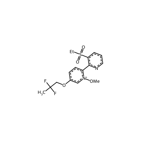 CCS(=O)(=O)c1cccnc1-c1ccc(OCC(C)(F)F)c[n+]1OC